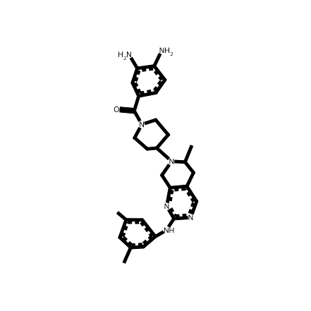 Cc1cc(C)cc(Nc2ncc3c(n2)CN(C2CCN(C(=O)c4ccc(N)c(N)c4)CC2)C(C)C3)c1